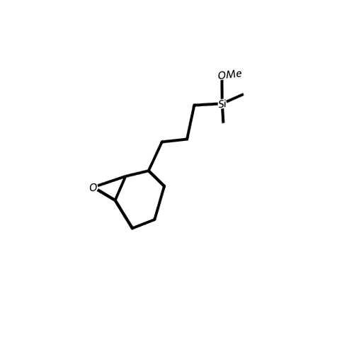 CO[Si](C)(C)CCCC1CCCC2OC12